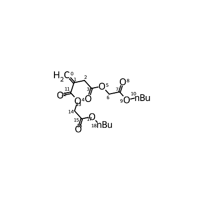 C=C(CC(=O)OCC(=O)OCCCC)C(=O)OCC(=O)OCCCC